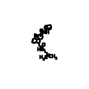 CN(C)CCCNC(=O)CC1CC2(CCN(C(=O)NC3C4CC5CC(C4)CC3C5)CC2)c2c(Br)cccc21